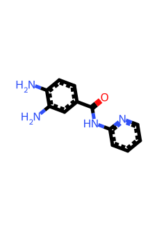 Nc1ccc(C(=O)Nc2ccccn2)cc1N